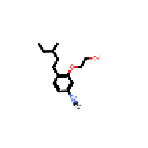 [C-]#[N+]c1ccc(CCC(C)CC)c(OCCO)c1